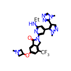 CCNc1cc(-c2c(-c3nncn3C)cnn2C)cc(N2Cc3c(cc(OC4CN(C)C4)cc3C(F)(F)F)C2=O)n1